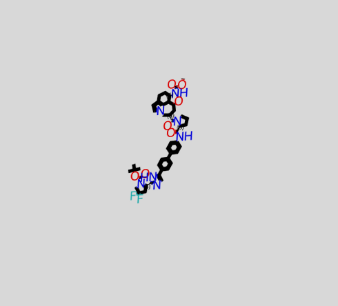 COC(=O)N[C@H]1CCc2ccn3c2C1C(=O)C[C@H](C(=O)N1CCC[C@H]1C(=O)Nc1ccc(-c2ccc(-c4cnc([C@@H]5CC(F)(F)CN5C(=O)OC(C)(C)C)[nH]4)cc2)cc1)C3